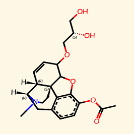 CC(=O)Oc1ccc2c3c1OC1C(OC[C@@H](O)CO)C=C[C@H]4[C@@H](C2)N(C)CC[C@]314